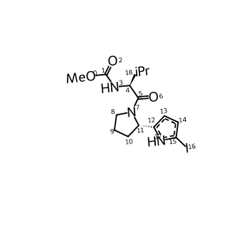 COC(=O)N[C@H](C(=O)N1CCC[C@H]1c1ccc(I)[nH]1)C(C)C